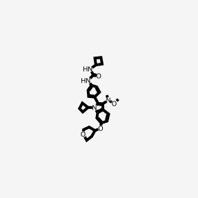 CON(C)c1c(-c2ccc(NC(=O)NC3CCC3)cc2)n(C2CCC2)c2cc(OC3CCOCC3)ccc12